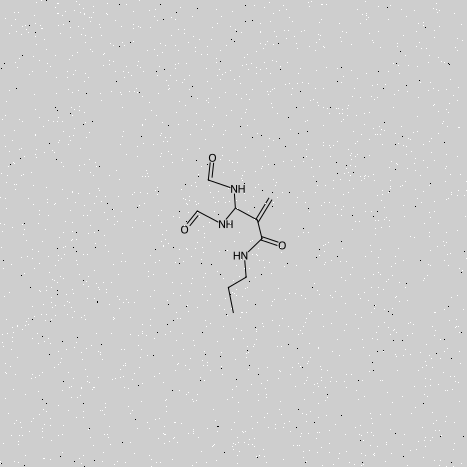 C=C(C(=O)NCCC)C(NC=O)NC=O